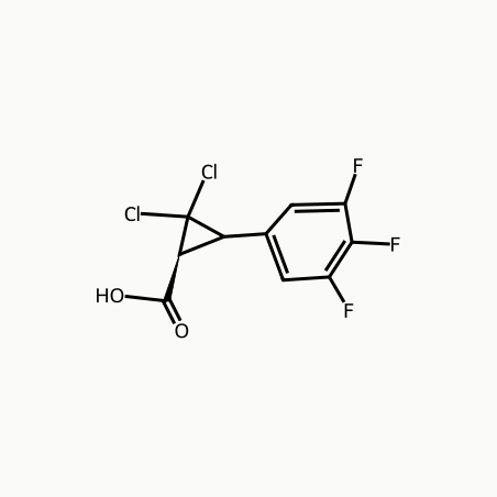 O=C(O)[C@@H]1C(c2cc(F)c(F)c(F)c2)C1(Cl)Cl